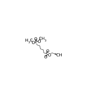 C#CCOS(=O)(=O)CCCCCP(=O)(OC)OC